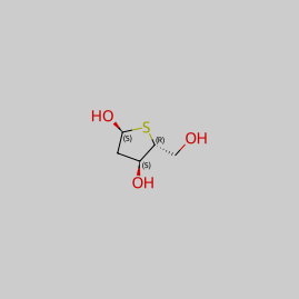 OC[C@H]1S[C@H](O)C[C@@H]1O